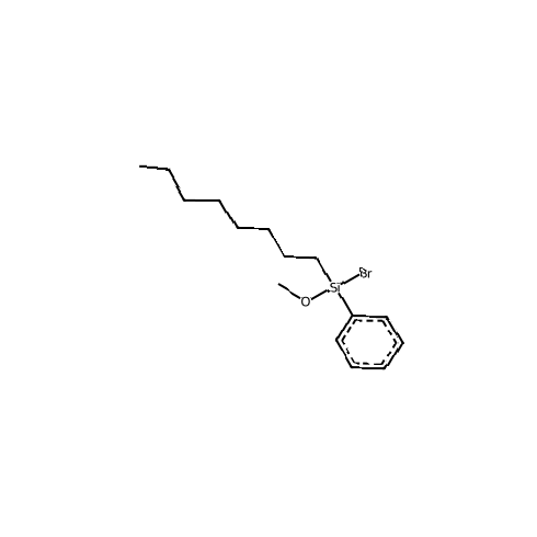 CCCCCCCC[Si](Br)(OC)c1ccccc1